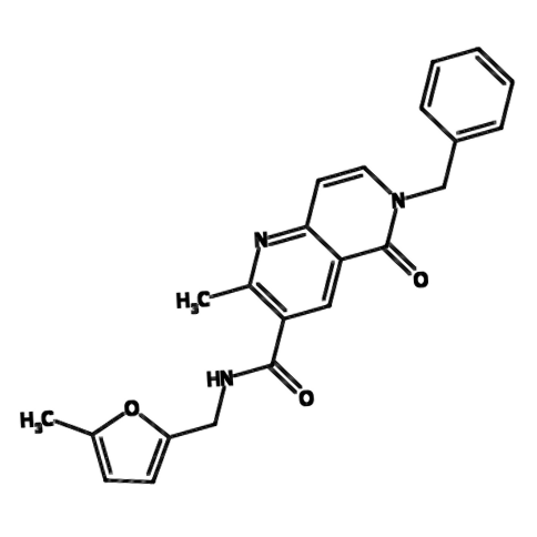 Cc1ccc(CNC(=O)c2cc3c(=O)n(Cc4ccccc4)ccc3nc2C)o1